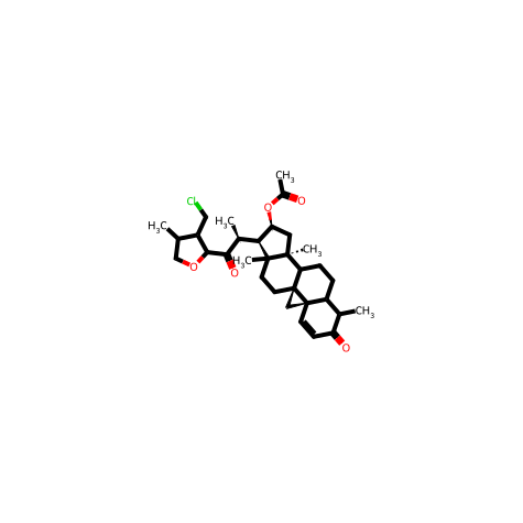 CC(=O)O[C@H]1C[C@@]2(C)C3CCC4C(C)C(=O)C=C[C@@]45C[C@@]35CCC2(C)[C@H]1[C@H](C)C(=O)C1OCC(C)C1CCl